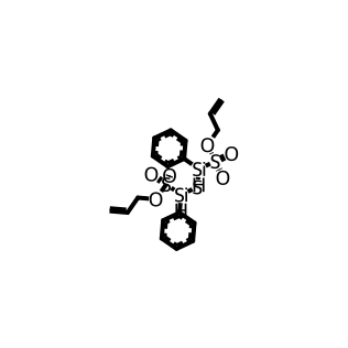 C=CCOS(=O)(=O)[SiH](S[SiH](c1ccccc1)S(=O)(=O)OCC=C)c1ccccc1